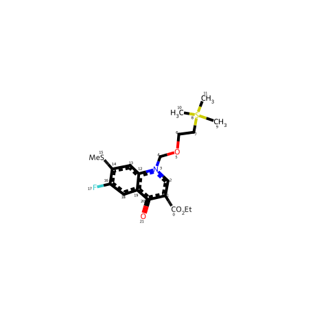 CCOC(=O)c1cn(COCCS(C)(C)C)c2cc(SC)c(F)cc2c1=O